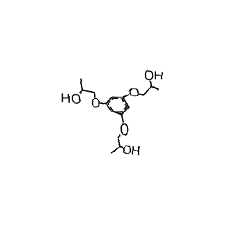 CC(O)COc1cc(OCC(C)O)cc(OCC(C)O)c1